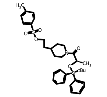 Cc1ccc(S(=O)(=O)OCCC2CCN(C(=O)[C@@H](C)O[Si](c3ccccc3)(c3ccccc3)C(C)(C)C)CC2)cc1